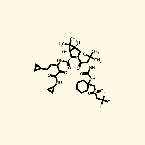 CC(C)(C)[C@H](NC(=O)NC1(CS(=O)(=O)CC(F)(F)F)CCCCC1)C(=O)N1C[C@H]2[C@@H]([C@H]1C(=O)NC(CCC1CC1)C(=O)C(=O)NC1CC1)C2(C)C